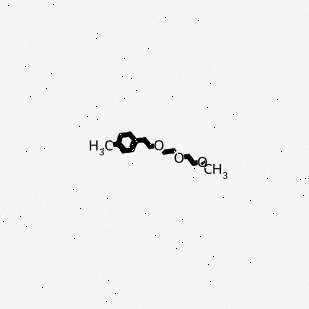 COCCOCCOCCC1=CC=C(C)CC1